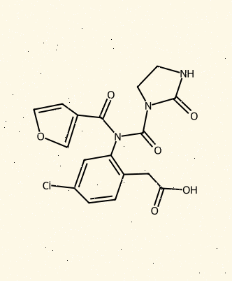 O=C(O)Cc1ccc(Cl)cc1N(C(=O)c1ccoc1)C(=O)N1CCNC1=O